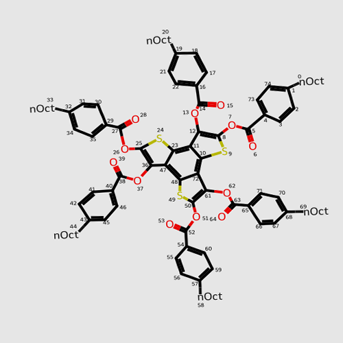 CCCCCCCCc1ccc(C(=O)Oc2sc3c(c2OC(=O)c2ccc(CCCCCCCC)cc2)c2sc(OC(=O)c4ccc(CCCCCCCC)cc4)c(OC(=O)c4ccc(CCCCCCCC)cc4)c2c2sc(OC(=O)c4ccc(CCCCCCCC)cc4)c(OC(=O)c4ccc(CCCCCCCC)cc4)c32)cc1